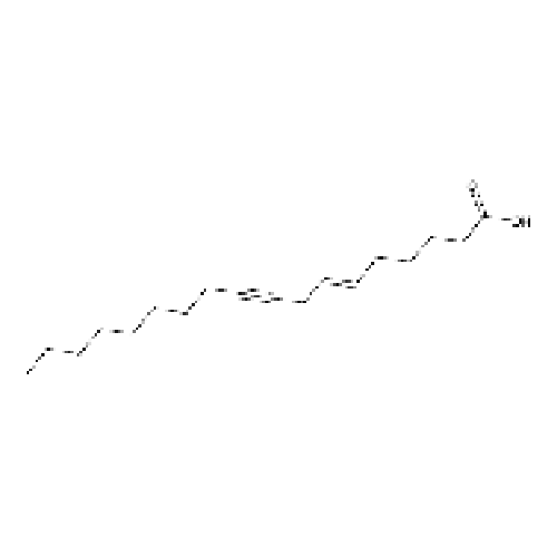 CCCCCCCCC#CCC=CCCCCC(=O)O